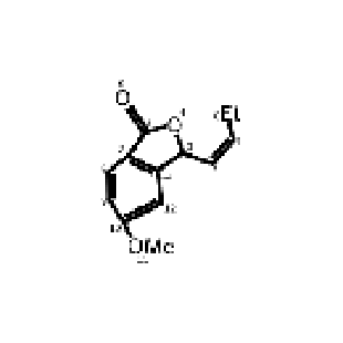 CC/C=C\C1OC(=O)c2ccc(OC)cc21